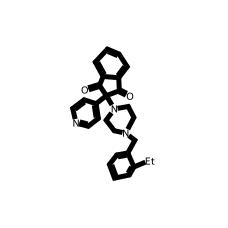 CCc1ccccc1CN1CCN(C2(c3ccncc3)C(=O)c3ccccc3C2=O)CC1